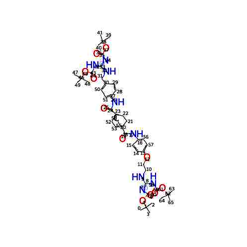 CC(C)(C)OC(=O)/N=C(/NCCOc1ccc(NC(=O)C23CCC(C(=O)Nc4ccc(CN/C(=N/C(=O)OC(C)(C)C)NC(=O)OC(C)(C)C)cc4)(CC2)CC3)cc1)NC(=O)OC(C)(C)C